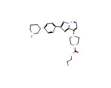 CC(C)N1CCC[C@@H](c2ccc(-c3cc4c(N5CCN(C(=O)OCCC#N)CC5)ccnn4c3)cc2)C1